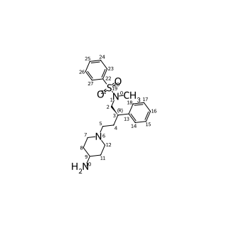 CN(C[C@H](CCN1CCC(N)CC1)c1ccccc1)S(=O)(=O)c1ccccc1